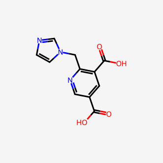 O=C(O)c1cnc(Cn2ccnc2)c(C(=O)O)c1